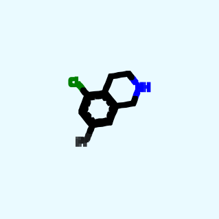 CC(C)c1cc(Cl)c2c(c1)CNCC2